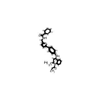 CCC(=O)N1c2ccccc2[C@H](Nc2ccc(-c3ccc(CNC(=O)C4CCCCC4)s3)cc2)C[C@@H]1C